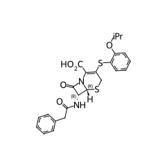 CC(C)Oc1ccccc1SC1=C(C(=O)O)N2C(=O)[C@@H](NC(=O)Cc3ccccc3)[C@H]2SC1